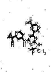 C[C@@H](Nc1nc(Nc2ccnc(C3(C#N)CC3)c2)nc(-c2cncc(C(F)F)n2)n1)C(F)(F)F